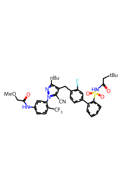 CCCCc1nn(-c2cc(NC(=O)COC)ccc2C(F)(F)F)c(C#N)c1Cc1ccc(-c2ccccc2S(=O)(=O)NC(=O)CC(C)(C)C)cc1F